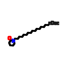 CCCCCCCCCCCCCCCCCCCCCCCCCCN1CCCCC1=O